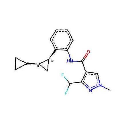 Cn1cc(C(=O)Nc2ccccc2[C@H]2C[C@H]2C2CC2)c(C(F)F)n1